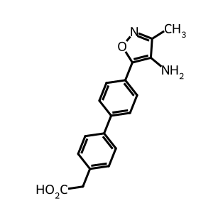 Cc1noc(-c2ccc(-c3ccc(CC(=O)O)cc3)cc2)c1N